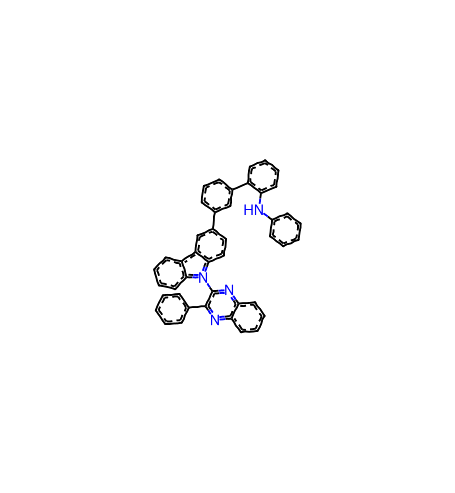 c1ccc(Nc2ccccc2-c2cccc(-c3ccc4c(c3)c3ccccc3n4-c3nc4ccccc4nc3-c3ccccc3)c2)cc1